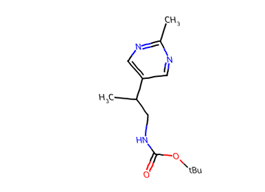 Cc1ncc(C(C)CNC(=O)OC(C)(C)C)cn1